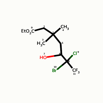 CCOC(=O)CC(C)(C)CC(O)C(Cl)(Br)C(F)(F)F